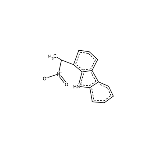 CC(c1cccc2c1[nH]c1ccccc12)[N+](=O)[O-]